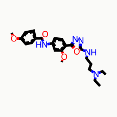 CCN(CC)CCCNc1nnc(-c2ccc(NC(=O)c3ccc(OC)cc3)cc2OC)o1